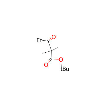 CCC(=O)C(C)(C)C(=O)OC(C)(C)C